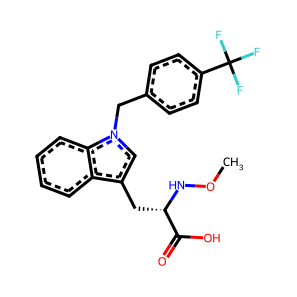 CON[C@@H](Cc1cn(Cc2ccc(C(F)(F)F)cc2)c2ccccc12)C(=O)O